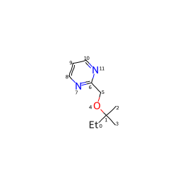 CCC(C)(C)OCc1ncccn1